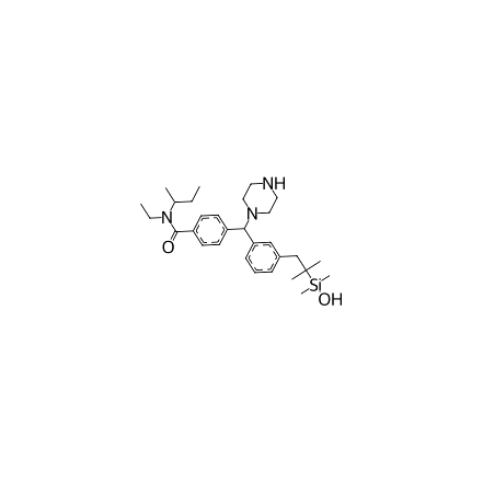 CCC(C)N(CC)C(=O)c1ccc(C(c2cccc(CC(C)(C)[Si](C)(C)O)c2)N2CCNCC2)cc1